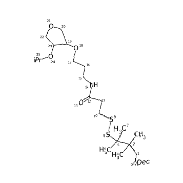 CCCCCCCCCCCC(C)(C)C(C)(C)SSCCC(=O)NCCCOC1COCC1OC(C)C